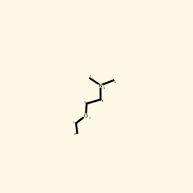 CCOCCN(C)C